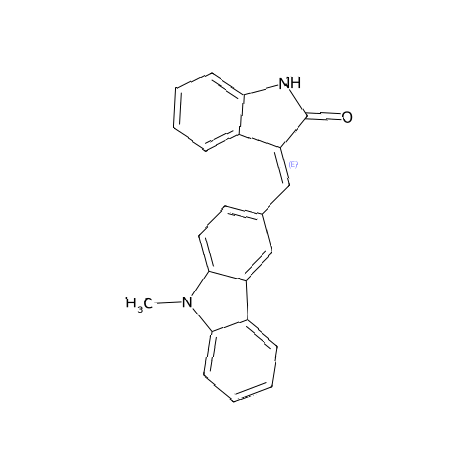 Cn1c2ccccc2c2cc(/C=C3/C(=O)Nc4ccccc43)ccc21